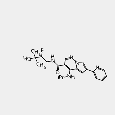 CC(C)Nc1c(C(=O)NCC(F)C(C)(C)O)cnn2cc(-c3ccccn3)cc12